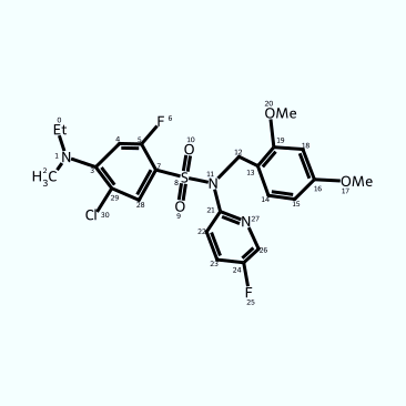 [CH2]CN(C)c1cc(F)c(S(=O)(=O)N(Cc2ccc(OC)cc2OC)c2ccc(F)cn2)cc1Cl